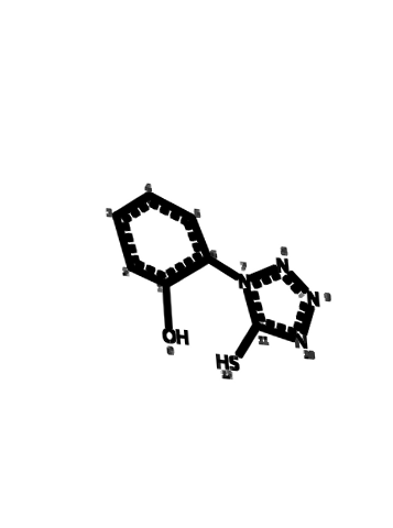 Oc1ccccc1-n1nnnc1S